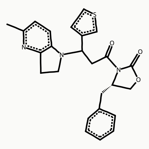 Cc1ccc2c(n1)CCN2C(CC(=O)N1C(=O)OC[C@@H]1Cc1ccccc1)c1ccsc1